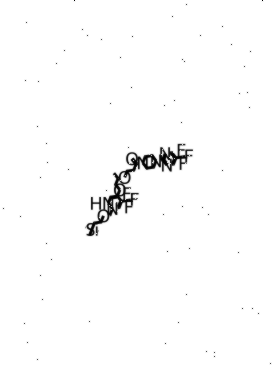 CC(COC1=CNN(COCC[Si](C)(C)C)C=C1C(F)(F)F)OCCC(=O)N1CCN(c2ncc(C(F)(F)F)cn2)CC1